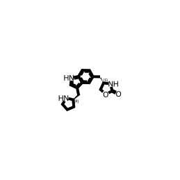 O=C1N[C@@H](Cc2ccc3[nH]cc(C[C@H]4CCCN4)c3c2)CO1